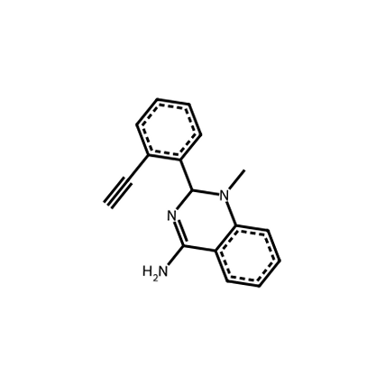 C#Cc1ccccc1C1N=C(N)c2ccccc2N1C